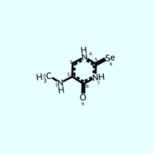 CNc1c[nH]c(=[Se])[nH]c1=O